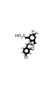 O=C(O)C=C1CC(F)(F)Cc2cnn(Cc3ccc(Cl)cc3Cl)c21